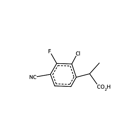 CC(C(=O)O)c1ccc(C#N)c(F)c1Cl